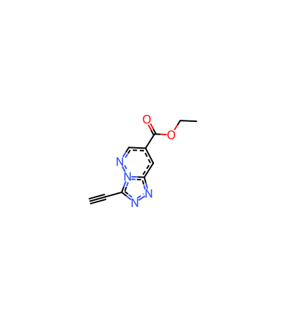 C#Cc1nnc2cc(C(=O)OCC)cnn12